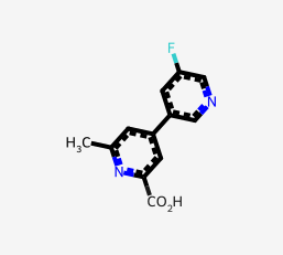 Cc1cc(-c2cncc(F)c2)cc(C(=O)O)n1